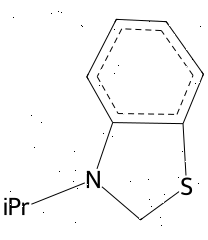 CC(C)N1CSc2ccccc21